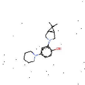 CC1(C)C2CN(c3cc(N4CCCCC4)ccc3O)CC21